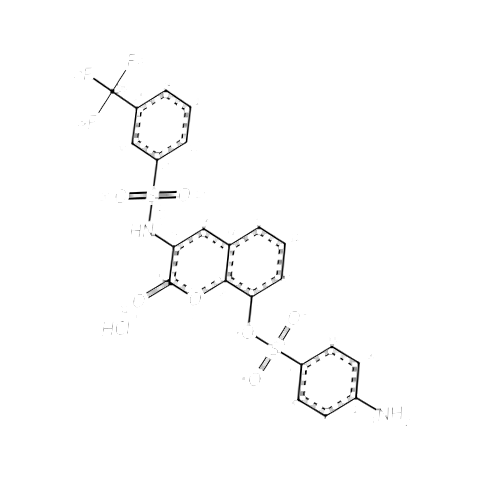 Cl.Nc1ccc(S(=O)(=O)Oc2cccc3cc(NS(=O)(=O)c4cccc(C(F)(F)F)c4)c(=O)oc23)cc1